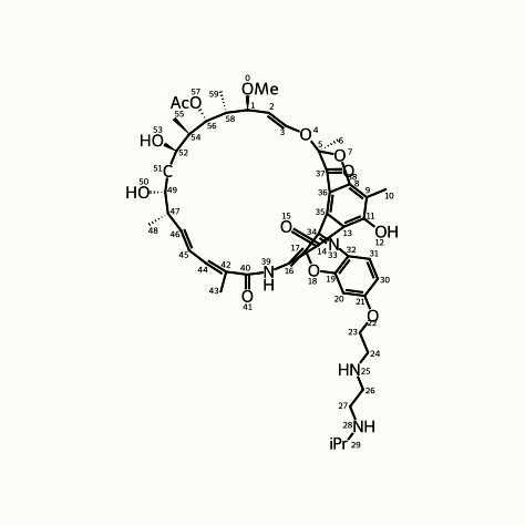 CO[C@H]1/C=C/O[C@@]2(C)Oc3c(C)c(O)c4c(=O)c(c5oc6cc(OCCNCCNC(C)C)ccc6nc-5c4c3C2=O)NC(=O)/C(C)=C\C=C\[C@H](C)[C@H](O)C[C@@H](O)[C@@H](C)[C@H](OC(C)=O)[C@@H]1C